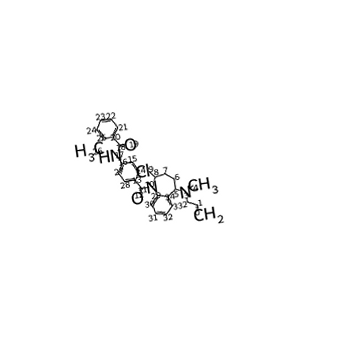 C=CCN(C)C1CCC(Cl)N(C(=O)c2ccc(NC(=O)c3ccccc3C)cc2)c2ccccc21